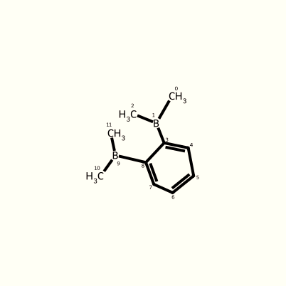 CB(C)c1ccccc1B(C)C